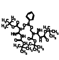 CC(C)(C)OC(=O)NC(=N)N(COB(OCN(C(=N)NC(=O)OC(C)(C)C)C(=O)OC(C)(C)C)c1ccccc1)C(=O)OC(C)(C)C